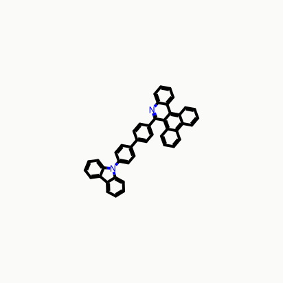 c1ccc2c(c1)nc(-c1ccc(-c3ccc(-n4c5ccccc5c5ccccc54)cc3)cc1)c1c3ccccc3c3ccccc3c21